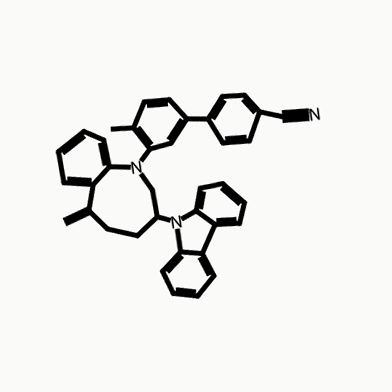 C=C1CCC(n2c3ccccc3c3ccccc32)CN(c2cc(-c3ccc(C#N)cc3)ccc2C)c2ccccc21